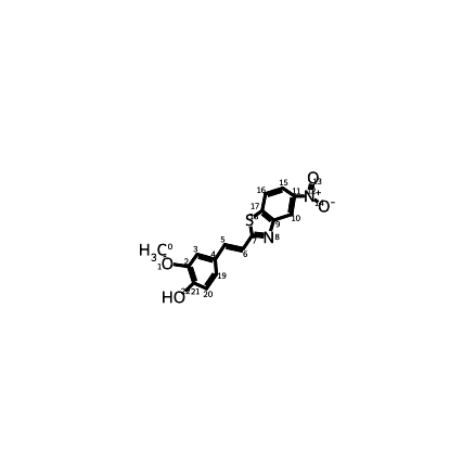 COc1cc(C=Cc2nc3cc([N+](=O)[O-])ccc3s2)ccc1O